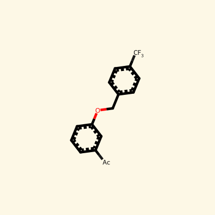 CC(=O)c1cccc(OCc2ccc(C(F)(F)F)cc2)c1